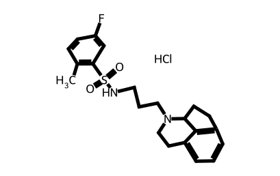 Cc1ccc(F)cc1S(=O)(=O)NCCCN1CCc2cccc3c2C1CC3.Cl